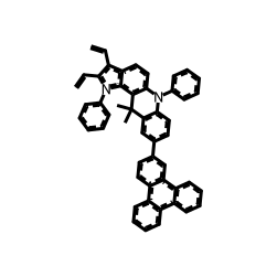 C=Cc1c(C=C)n(-c2ccccc2)c2c3c(ccc12)N(c1ccccc1)c1ccc(-c2ccc4c5ccccc5c5ccccc5c4c2)cc1C3(C)C